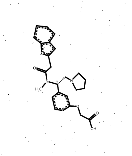 CN(C(=O)Cc1cc2ccccc2s1)[C@H](CN1CCCC1)c1cccc(OCC(=O)O)c1